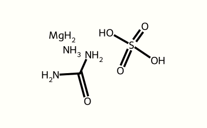 N.NC(N)=O.O=S(=O)(O)O.[MgH2]